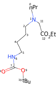 CCCN(CCCCNC(=O)OC(C)(C)C)CC(=O)OCC